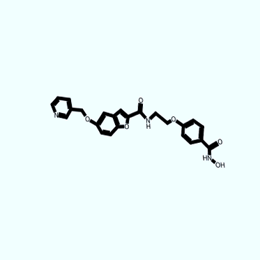 O=C(NO)c1ccc(OCCNC(=O)c2cc3cc(OCc4cccnc4)ccc3o2)cc1